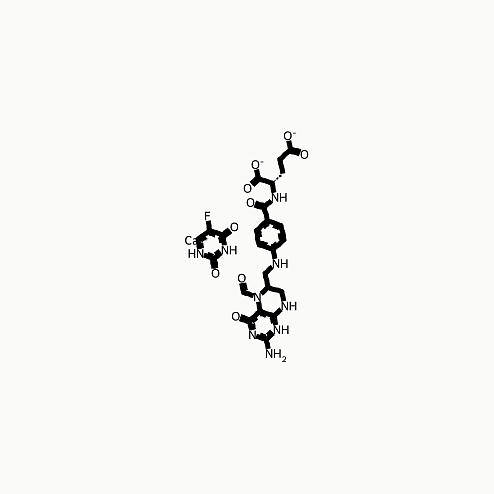 Nc1nc(=O)c2c([nH]1)NCC(CNc1ccc(C(=O)N[C@@H](CCC(=O)[O-])C(=O)[O-])cc1)N2C=O.O=c1[nH]cc(F)c(=O)[nH]1.[Ca+2]